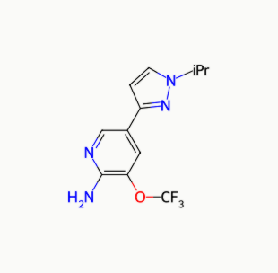 CC(C)n1ccc(-c2cnc(N)c(OC(F)(F)F)c2)n1